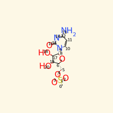 CS(=O)(=O)OC[C@H]1O[C@@H](n2ccc(N)nc2=O)[C@H](O)[C@@H]1O